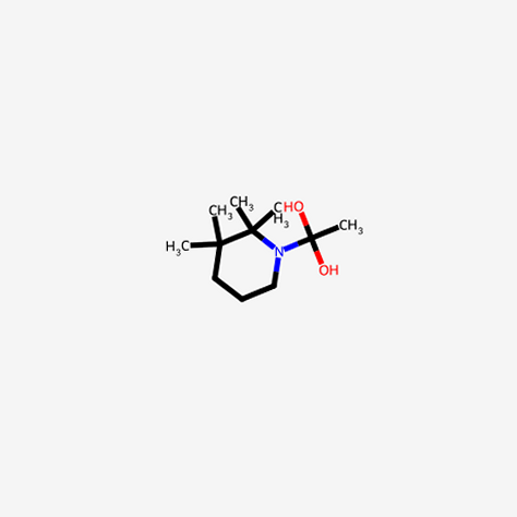 CC(O)(O)N1CCCC(C)(C)C1(C)C